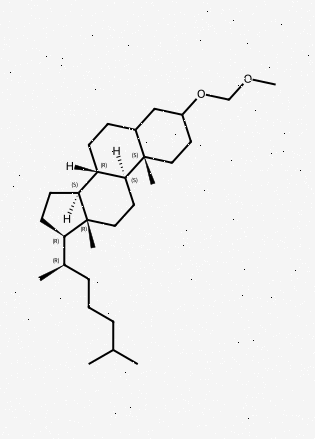 COCOC1CC[C@@]2(C)C(CC[C@H]3[C@@H]4CC[C@H]([C@H](C)CCCC(C)C)[C@@]4(C)CC[C@@H]32)C1